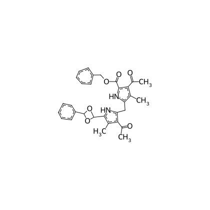 CC(=O)c1c(Cc2[nH]c(C(=O)OCc3ccccc3)c(C(C)=O)c2C)[nH]c(C2OC(c3ccccc3)O2)c1C